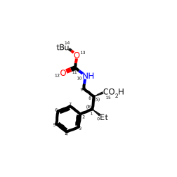 CC[C@@H](c1ccccc1)[C@@H](CNC(=O)OC(C)(C)C)C(=O)O